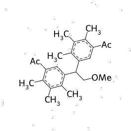 COCC(c1cc(C(C)=O)c(C)c(C)c1C)c1cc(C(C)=O)c(C)c(C)c1C